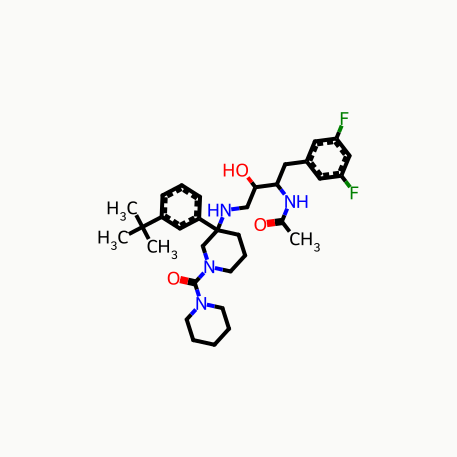 CC(=O)NC(Cc1cc(F)cc(F)c1)C(O)CNC1(c2cccc(C(C)(C)C)c2)CCCN(C(=O)N2CCCCC2)C1